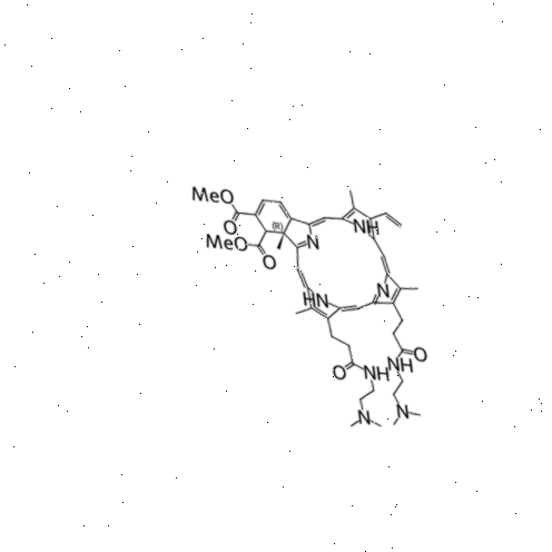 C=Cc1c(C)c2cc3nc(cc4[nH]c(cc5nc(cc1[nH]2)C(C)=C5CCC(=O)NCCN(C)C)c(CCC(=O)NCCN(C)C)c4C)[C@@]1(C)C3=CC=C(C(=O)OC)C1C(=O)OC